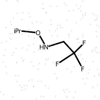 CC(C)ONCC(F)(F)F